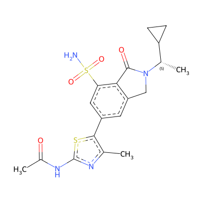 CC(=O)Nc1nc(C)c(-c2cc3c(c(S(N)(=O)=O)c2)C(=O)N([C@@H](C)C2CC2)C3)s1